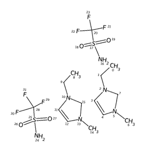 CCN1C=CN(C)C1.CCN1C=CN(C)C1.NS(=O)(=O)C(F)(F)F.NS(=O)(=O)C(F)(F)F